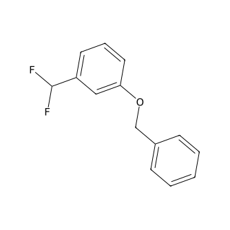 FC(F)c1cccc(OCc2ccccc2)c1